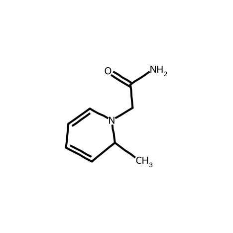 CC1C=CC=CN1CC(N)=O